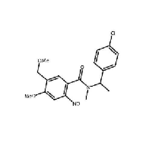 COCc1cc(C(=O)N(C)C(C)c2ccc(Cl)cc2)c(N=O)cc1OC